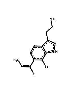 C/C=C(/Cl)c1ccc2c(CCN)c[nH]c2c1CC